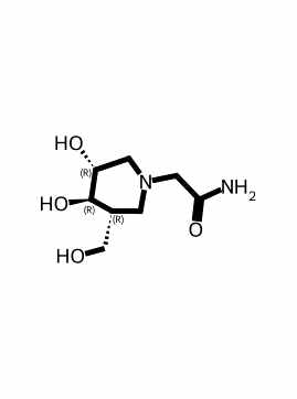 NC(=O)CN1C[C@H](CO)[C@@H](O)[C@H](O)C1